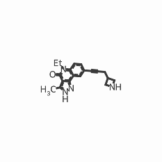 CCn1c(=O)c2c(C)[nH]nc2c2cc(C#CCC3CNC3)ccc21